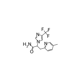 Cc1ccc(CC(C(N)=O)n2cnc(C(F)(F)F)c2)nc1